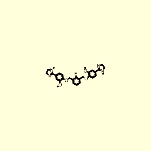 COc1cc(C2=NCCN2C)ccc1OCc1cccc(COc2ccc(C3=NCCN3C)cc2OC)c1F